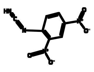 N=C=Nc1ccc([N+](=O)[O-])cc1[N+](=O)[O-]